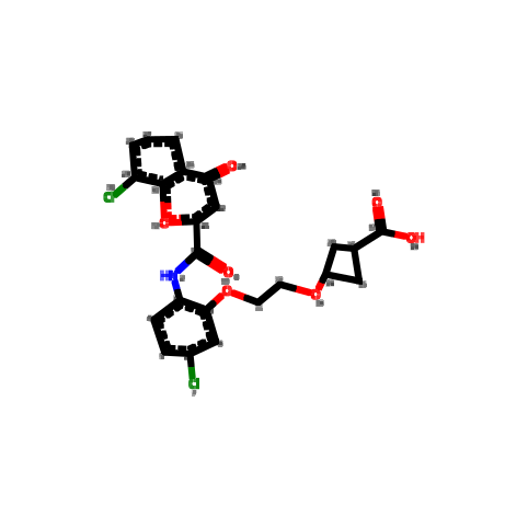 O=C(Nc1ccc(Cl)cc1OCCOC1CC(C(=O)O)C1)c1cc(=O)c2cccc(Cl)c2o1